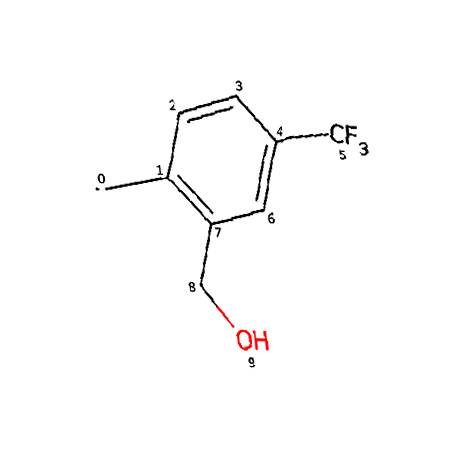 [CH2]c1ccc(C(F)(F)F)cc1CO